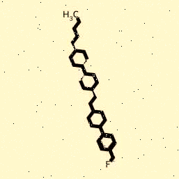 CCCCC[C@H]1CC[C@H]([C@H]2CC[C@H](CCC3CCC(c4ccc(CF)cc4)CC3)CC2)CC1